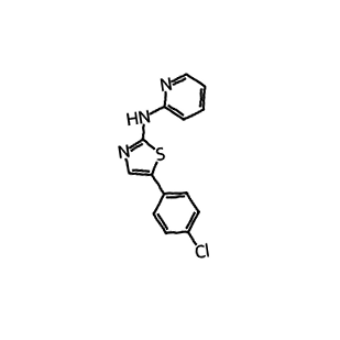 Clc1ccc(-c2cnc(Nc3ccccn3)s2)cc1